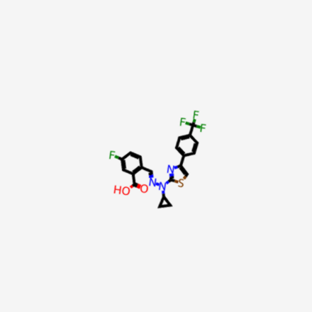 O=C(O)c1cc(F)ccc1/C=N/N(c1nc(-c2ccc(C(F)(F)F)cc2)cs1)C1CC1